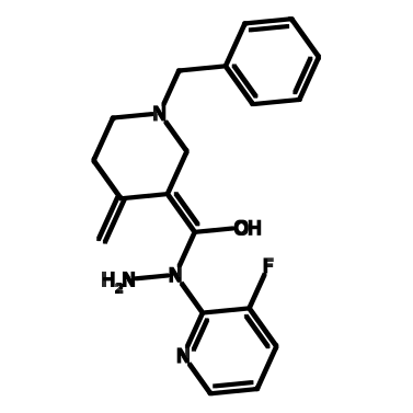 C=C1CCN(Cc2ccccc2)C/C1=C(\O)N(N)c1ncccc1F